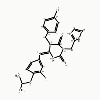 CC(C)Oc1ccc(/N=c2\[nH]c(=O)n(Cc3ncn[nH]3)c(=O)n2Cc2ccc(Cl)cc2)cc1F